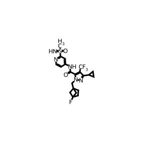 CS(=N)(=O)c1cc(NC(=O)c2c(C(F)(F)F)c(C3CC3)nn2CC23CCC(F)(C2)C3)ccn1